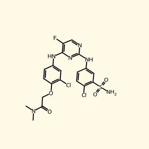 CN(C)C(=O)COc1ccc(Nc2nc(Nc3ccc(Cl)c(S(N)(=O)=O)c3)ncc2F)cc1Cl